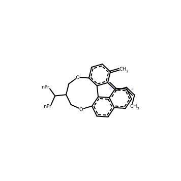 C=c1ccc2c(/c1=C/C=C\C)-c1c(ccc3ccccc13)OCC(C(CCC)CCC)CO2